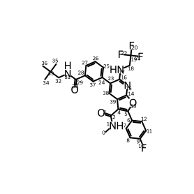 CNC(=O)c1c(-c2ccc(F)cc2)oc2nc(NCC(F)(F)F)c(-c3cccc(C(=O)NCC(C)(C)C)c3)cc12